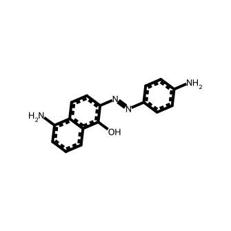 Nc1ccc(N=Nc2ccc3c(N)cccc3c2O)cc1